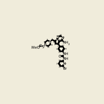 COOSN1CCN(Cc2cc(-c3ccc(NC(=O)Nc4cccc(Br)n4)cc3)c3c(N)ncnn23)CC1